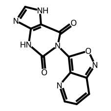 O=c1[nH]c2nc[nH]c2c(=O)n1-c1onc2cccnc12